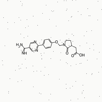 N=C(N)c1cnc(-c2ccc(OCN3CCC(CC(=O)O)C3=O)cc2)nc1